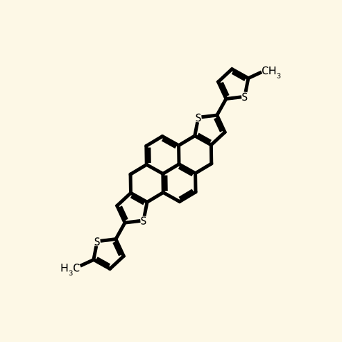 Cc1ccc(-c2cc3c(s2)-c2ccc4c5c(ccc(c25)C3)-c2sc(-c3ccc(C)s3)cc2C4)s1